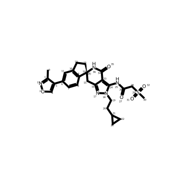 Cc1nocc1-c1ccc2c(c1)CC[C@@]21Cc2nn(CCC3CC3)c(NC(=O)CS(C)(=O)=O)c2C(=O)N1